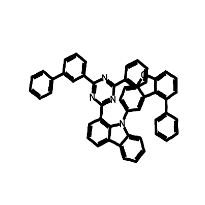 c1ccc(-c2cccc(-c3nc(-c4ccccc4)nc(-c4cccc5c6ccccc6n(-c6ccc7oc8cccc(-c9ccccc9)c8c7c6)c45)n3)c2)cc1